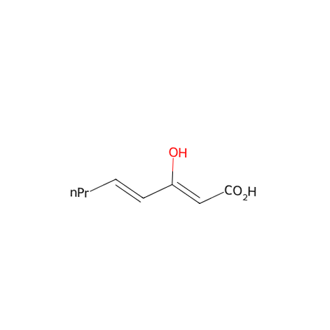 CCCC=CC(O)=CC(=O)O